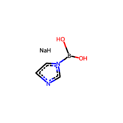 OB(O)n1ccnc1.[NaH]